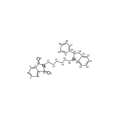 O=C1c2ccccc2C(=O)N1CCCCCCN1c2ccccc2CC1c1ccccc1